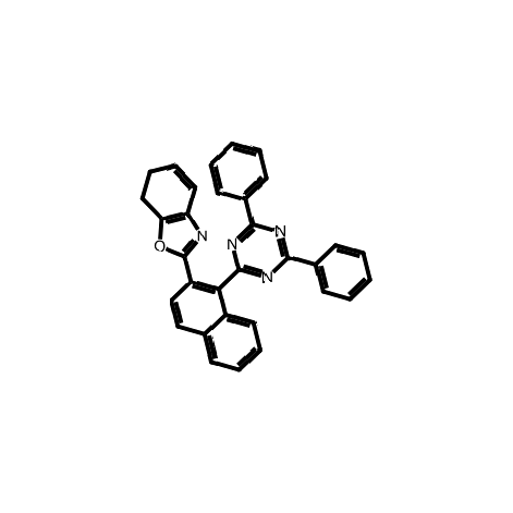 C1=Cc2nc(-c3ccc4ccccc4c3-c3nc(-c4ccccc4)nc(-c4ccccc4)n3)oc2CC1